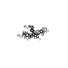 CSc1cc(C)[nH]c(=O)c1CNC(=O)c1cc(-c2ccc3c(ccn3C)c2)c2c(c1C)OC(C)([C@H]1CC[C@H](N(C)C)CC1)O2